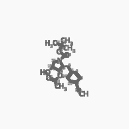 C#Cc1ccc(C[C@@H]2[C@H](OC(C)=O)[C@@H](O)CN2C(=O)OC(C)(C)C)cc1